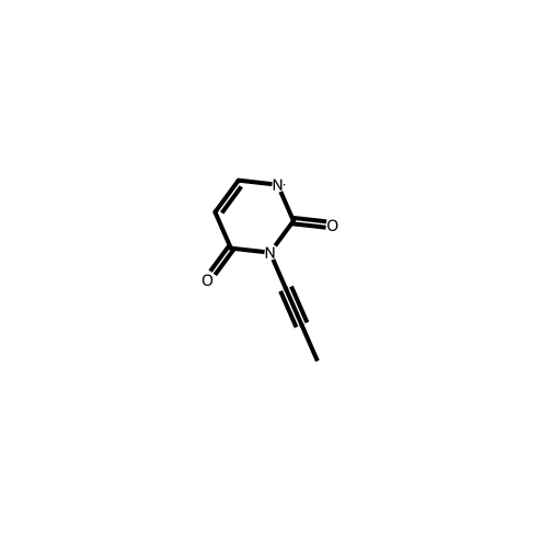 CC#CN1C(=O)C=C[N]C1=O